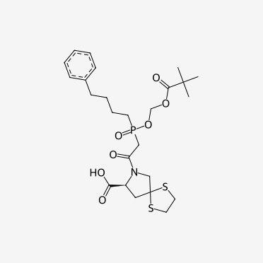 CC(C)(C)C(=O)OCOP(=O)(CCCCc1ccccc1)CC(=O)N1CC2(C[C@H]1C(=O)O)SCCS2